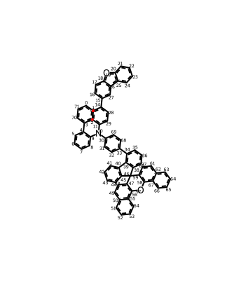 c1ccc(-c2ccccc2N(c2ccc(-c3ccc4oc5ccccc5c4c3)cc2)c2ccc(-c3cccc4c3-c3ccccc3C43c4ccc5ccccc5c4Oc4c3ccc3ccccc43)cc2)cc1